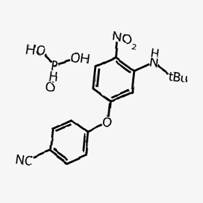 CC(C)(C)Nc1cc(Oc2ccc(C#N)cc2)ccc1[N+](=O)[O-].O=[PH](O)O